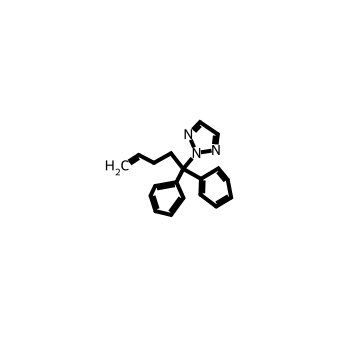 C=CCCC(c1ccccc1)(c1ccccc1)n1nccn1